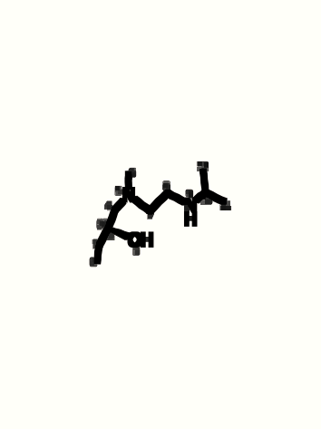 CC[C@H](O)CN(C)CCNC(C)C